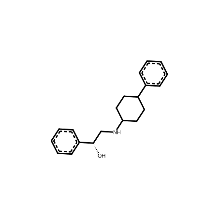 O[C@@H](CNC1CCC(c2ccccc2)CC1)c1ccccc1